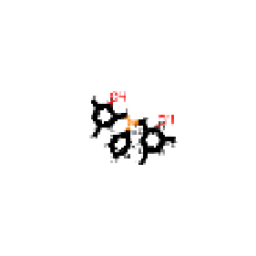 Cc1cc(C)c(O)c(CP(Cc2cc(C)cc(C)c2O)c2ccccc2)c1